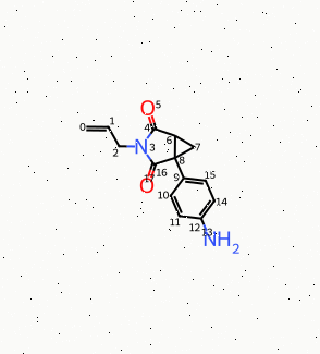 C=CCN1C(=O)C2CC2(c2ccc(N)cc2)C1=O